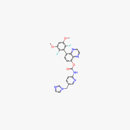 COc1cc(OC)c(F)c(-c2ccc(OC(=O)Nc3ccc(Cn4ccnc4)cn3)c3nccnc23)c1F